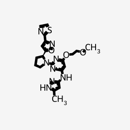 COCCOc1cc(Nc2cc(C)[nH]n2)nc(N2CCC[C@H]2c2cc(-c3nccs3)no2)n1